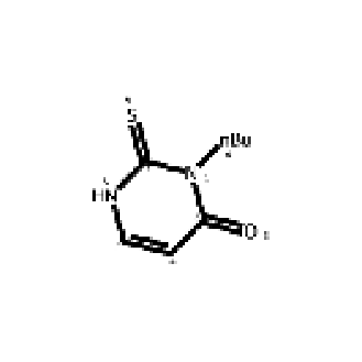 CCCCn1c(=O)cc[nH]c1=S